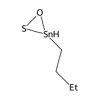 CCC[CH2][SnH]1[O][S]1